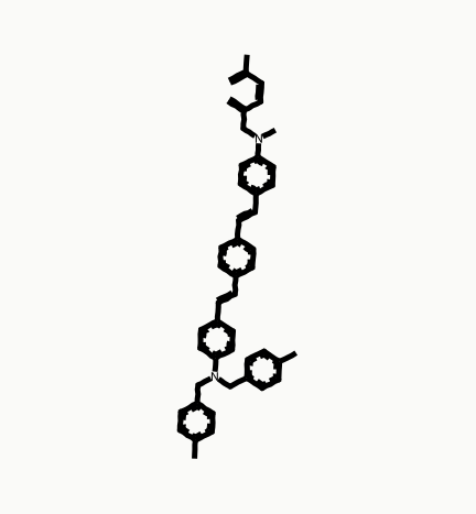 C=C(C)/C=C\C(=C)CN(C)c1ccc(C=Cc2ccc(C=Cc3ccc(N(Cc4ccc(C)cc4)Cc4ccc(C)cc4)cc3)cc2)cc1